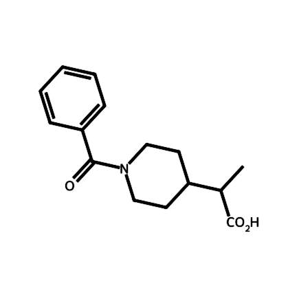 CC(C(=O)O)C1CCN(C(=O)c2ccccc2)CC1